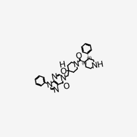 O=C([C@@H]1CCNC[C@H]1c1ccccc1)N1CCC(O)(Cn2cnc3c(ncn3-c3ccccc3)c2=O)CC1